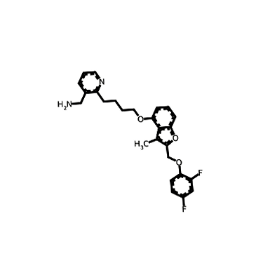 Cc1c(COc2ccc(F)cc2F)oc2cccc(OCCCCc3ncccc3CN)c12